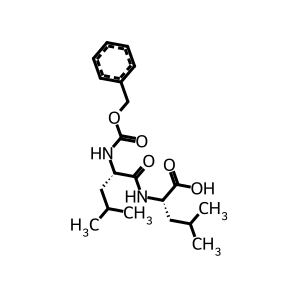 CC(C)C[C@H](NC(=O)[C@H](CC(C)C)NC(=O)OCc1ccccc1)C(=O)O